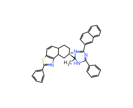 CC1([C@@H]2CCC3C=Cc4sc(-c5ccccc5)nc4C3C2)N=C(c2ccc3ccccc3c2)N=C(c2ccccc2)N1